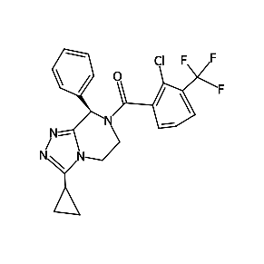 O=C(c1cccc(C(F)(F)F)c1Cl)N1CCn2c(C3CC3)nnc2[C@H]1c1ccccc1